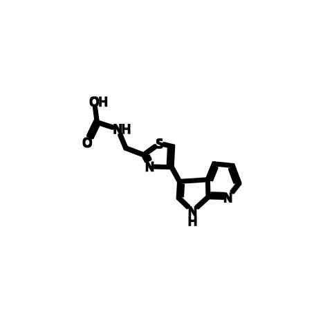 O=C(O)NCc1nc(-c2c[nH]c3ncccc23)cs1